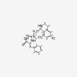 CC(=O)N[C@@H](Cc1ccccc1)C(=O)O.C[C@@H]1NCCc2cc(Cl)cc(Cl)c21